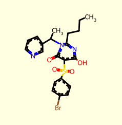 CCCCc1nc(O)c(S(=O)(=O)c2ccc(Br)cc2)c(=O)n1C(C)c1cccnc1